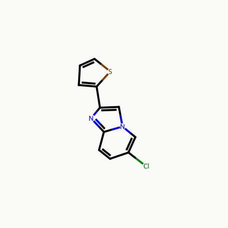 Clc1ccc2nc(-c3cccs3)cn2c1